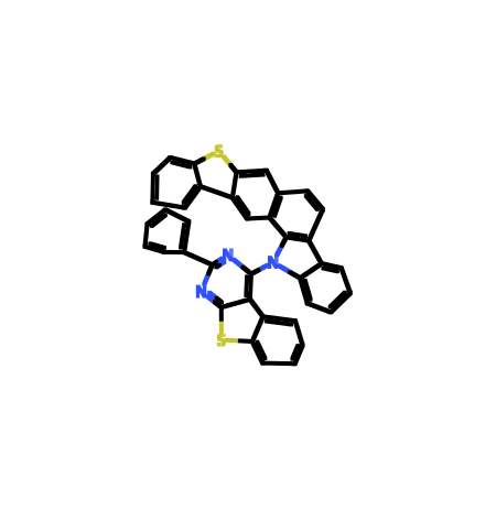 c1ccc(-c2nc(-n3c4ccccc4c4ccc5cc6sc7ccccc7c6cc5c43)c3c(n2)sc2ccccc23)cc1